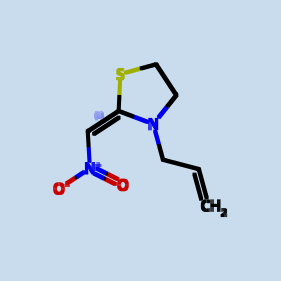 C=CCN1CCS/C1=C/[N+](=O)[O-]